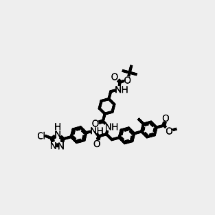 COC(=O)c1ccc(-c2ccc(CC(NC(=O)C3CCC(CNC(=O)OC(C)(C)C)CC3)C(=O)Nc3ccc(-c4nnc(Cl)[nH]4)cc3)cc2)c(C)c1